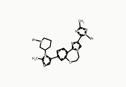 Cc1nc(-c2cn3c(n2)-c2ccc(-c4cnc(C)n4C4CCCN(C(C)C)C4)cc2OCC3)n(C(C)C)n1